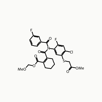 COCOC(=O)C1=C(C(=O)N(C(=O)c2cccc(F)c2)c2cc(SCC(=O)OC)c(Cl)cc2F)CCCC1